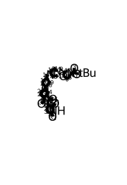 CC(C)(C)OC(=O)N1CCO[C@@H](CN2CCN(CC3CCN(c4ccc5c(c4)C(=O)N(C4CCC(=O)NC4=O)C5=O)CC3)CC2)C1